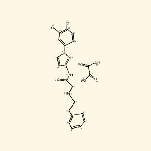 O=C(CNCCc1ccccc1)Nc1ccn(-c2ccc(Cl)c(Cl)c2)n1.O=C(O)C(=O)O